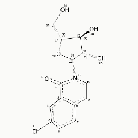 O=c1c2cc(Cl)ccc2ccn1[C@@H]1O[C@H](CO)[C@@H](O)[C@@H]1O